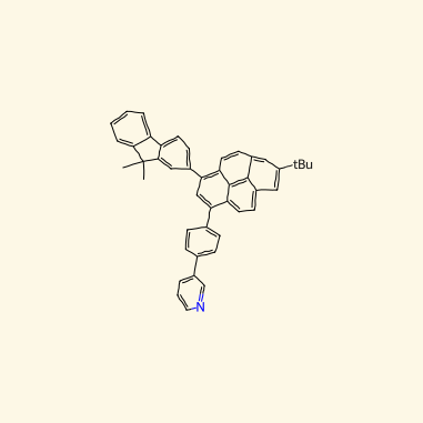 CC(C)(C)c1cc2ccc3c(-c4ccc(-c5cccnc5)cc4)cc(-c4ccc5c(c4)C(C)(C)c4ccccc4-5)c4ccc(c1)c2c34